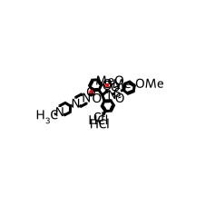 COc1ccc(S(=O)(=O)N2C(=O)C(OC(=O)N3CCN(C4CCN(C)CC4)CC3)(c3ccccc3OC)c3cc(Cl)ccc32)c(OC)c1.Cl.Cl